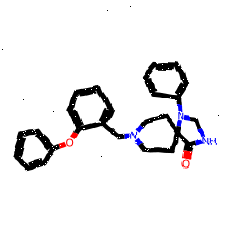 O=C1NCN(c2ccccc2)C12CCN(Cc1ccccc1Oc1ccccc1)CC2